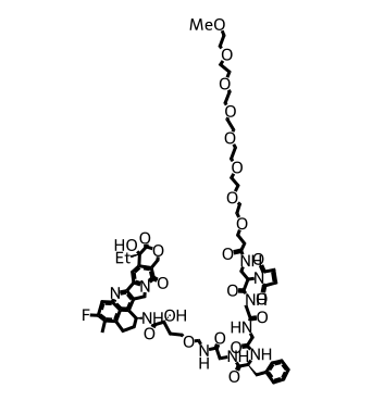 CC[C@@]1(O)C(=O)OCc2c1cc1n(c2=O)Cc2c-1nc1cc(F)c(C)c3c1c2[C@@H](NC(=O)[C@H](O)CCOCNC(=O)CNC(=O)[C@H](Cc1ccccc1)NC(=O)CNC(=O)CNC(=O)C(CNC(=O)CCOCCOCCOCCOCCOCCOCCOCCOC)N1C(=O)C=CC1=O)CC3